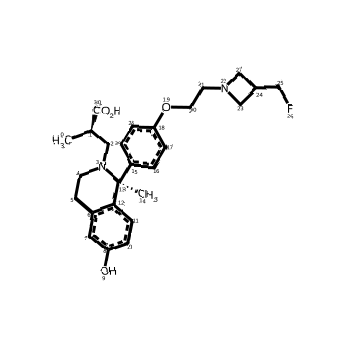 C[C@H](CN1CCc2cc(O)ccc2[C@]1(C)c1ccc(OCCN2CC(CF)C2)cc1)C(=O)O